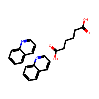 O=C(O)CCCCC(=O)O.c1ccc2ncccc2c1.c1ccc2ncccc2c1